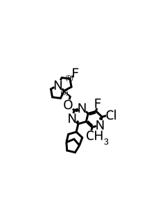 Cc1nc(Cl)c(F)c2nc(OC[C@@]34CCCN3C[C@H](F)C4)nc(C3CC4CCC(C4)C3)c12